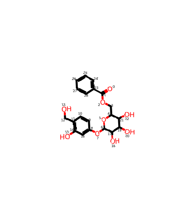 O=C(OCC1OC(Oc2ccc(CO)c(O)c2)C(O)C(O)C1O)c1ccccc1